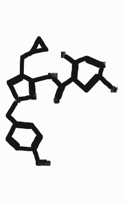 COc1ccc(Cn2cc(CC3CC3)c(NC(=O)c3cc(Br)ncc3F)n2)cc1